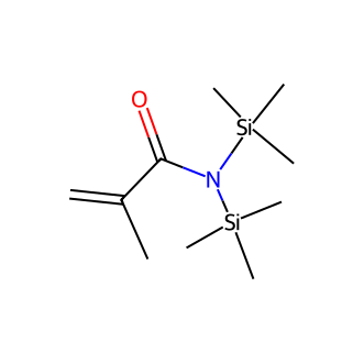 C=C(C)C(=O)N([Si](C)(C)C)[Si](C)(C)C